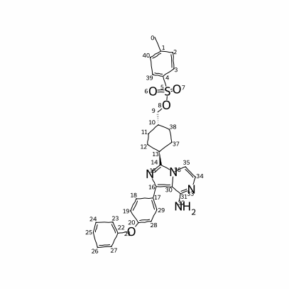 Cc1ccc(S(=O)(=O)OC[C@H]2CC[C@H](c3nc(-c4ccc(Oc5ccccc5)cc4)c4c(N)nccn43)CC2)cc1